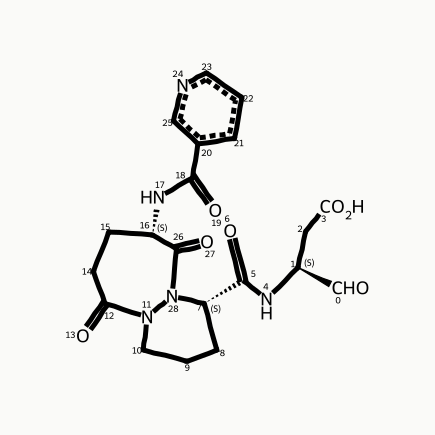 O=C[C@H](CC(=O)O)NC(=O)[C@@H]1CCCN2C(=O)CC[C@H](NC(=O)c3cccnc3)C(=O)N12